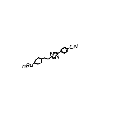 CCCCC1CCC(CCc2cnc(-c3ccc(C#N)cc3)cn2)CC1